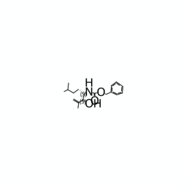 C=C(C)[C@H](O)[C@H](CCC(C)C)NC(=O)OCc1ccccc1